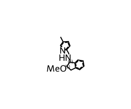 CO[C@H]1Cc2ccccc2[C@@H]1NCc1ccc(C)cn1